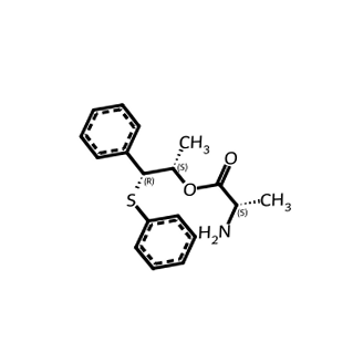 C[C@H](N)C(=O)O[C@@H](C)[C@H](Sc1ccccc1)c1ccccc1